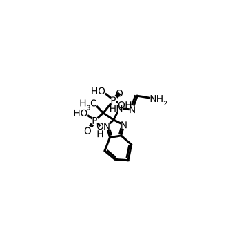 CC(C1(NN=CN)N=c2ccccc2=N1)(P(=O)(O)O)P(=O)(O)O